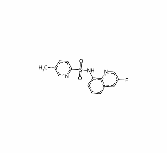 Cc1ccc(S(=O)(=O)Nc2cccc3cc(F)cnc23)nc1